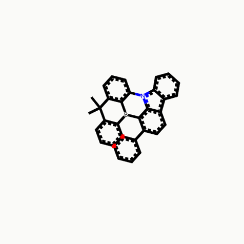 CC1(C)c2ccccc2B2c3c(cccc31)-n1c3ccccc3c3ccc(-c4ccccc4)c2c31